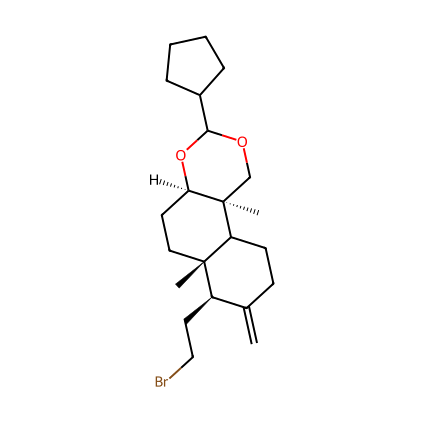 C=C1CCC2[C@]3(C)COC(C4CCCC4)O[C@@H]3CC[C@@]2(C)[C@@H]1CCBr